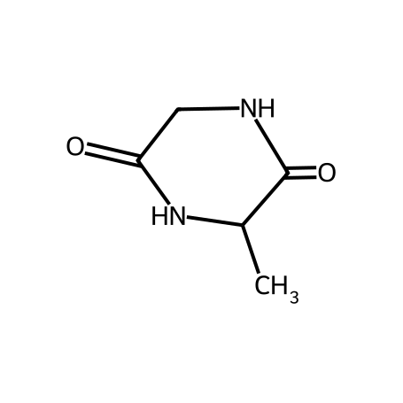 CC1NC(=O)CNC1=O